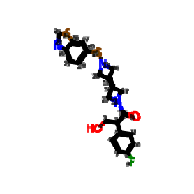 O=C(C(CO)c1ccc(F)cc1)N1CC(=C2CN(Sc3ccc4ncsc4c3)C2)C1